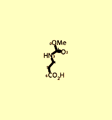 COC(=O)NCCC(=O)O